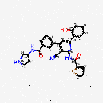 N#Cc1c(-c2cccc(C(=O)NC3CCNC3)c2)cc(-c2ccccc2O)nc1NC(=O)c1cccs1